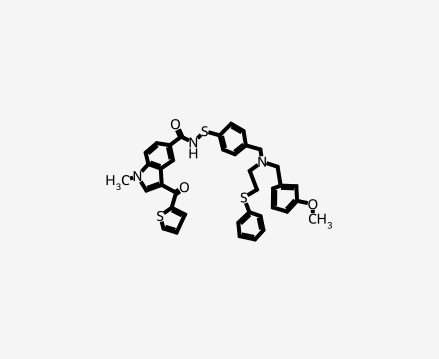 COc1cccc(CN(CCSc2ccccc2)Cc2ccc(SNC(=O)c3ccc4c(c3)c(C(=O)c3cccs3)cn4C)cc2)c1